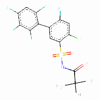 CC(C)(C)C(=O)NS(=O)(=O)c1cc(-c2c(F)cc(F)c(F)c2F)c(F)cc1Cl